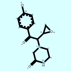 O=C1CN(C(C(=O)c2ccc(Cl)cc2)C2CO2)CCN1